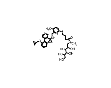 Cc1ccc(SCCCC(=O)N(C)CC(O)C(O)C(O)C(O)CO)nc1CNC1(c2cnccc2-c2ccccc2OC2CC2)CC1